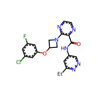 CCc1cc(NC(=O)c2nccnc2N2CC(Oc3cc(F)cc(Cl)c3)C2)cnn1